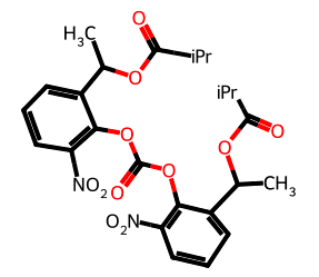 CC(C)C(=O)OC(C)c1cccc([N+](=O)[O-])c1OC(=O)Oc1c(C(C)OC(=O)C(C)C)cccc1[N+](=O)[O-]